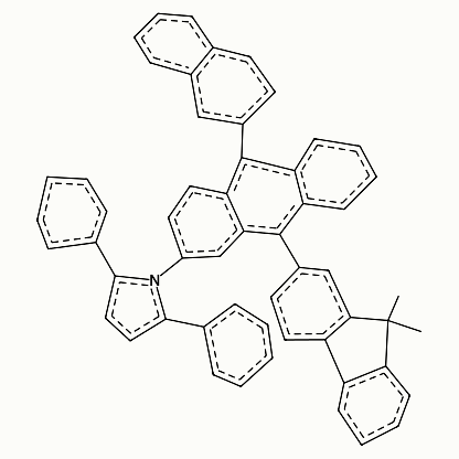 CC1(C)c2ccccc2-c2ccc(-c3c4ccccc4c(-c4ccc5ccccc5c4)c4ccc(-n5c(-c6ccccc6)ccc5-c5ccccc5)cc34)cc21